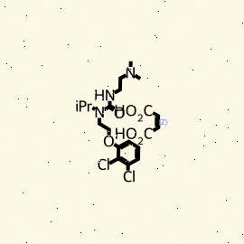 CC(C)N(CCOc1cccc(Cl)c1Cl)C(=O)NCCN(C)C.O=C(O)/C=C\C(=O)O